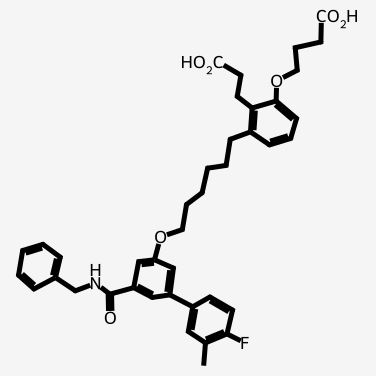 Cc1cc(-c2cc(OCCCCCCc3cccc(OCCCC(=O)O)c3CCC(=O)O)cc(C(=O)NCc3ccccc3)c2)ccc1F